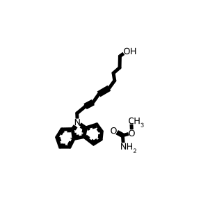 COC(N)=O.OCCCCC#CC#CCn1c2ccccc2c2ccccc21